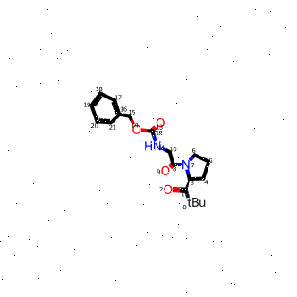 CC(C)(C)C(=O)[C@@H]1CCCN1C(=O)CNC(=O)OCc1ccccc1